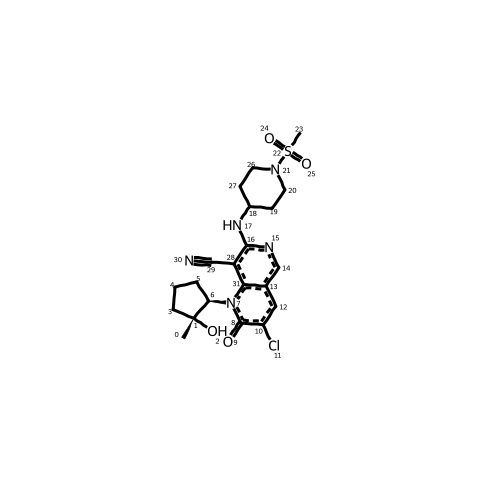 C[C@@]1(O)CCC[C@H]1n1c(=O)c(Cl)cc2cnc(NC3CCN(S(C)(=O)=O)CC3)c(C#N)c21